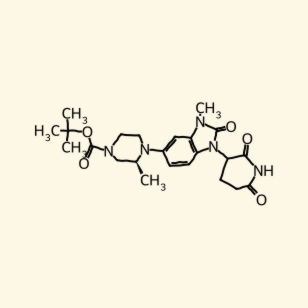 C[C@H]1CN(C(=O)OC(C)(C)C)CCN1c1ccc2c(c1)n(C)c(=O)n2C1CCC(=O)NC1=O